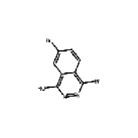 Oc1nnc(Br)c2ccc(Br)cc12